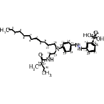 CCCCCCCCCCCCN(CCNC(=O)[C@@H](C)CC)c1ccc(/N=N/c2cccc(P(=O)(O)O)c2)cc1